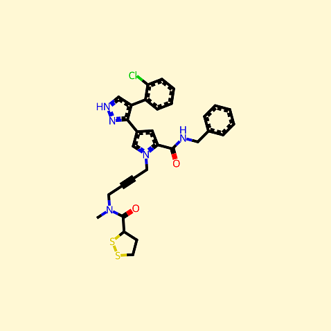 CN(CC#CCn1cc(-c2n[nH]cc2-c2ccccc2Cl)cc1C(=O)NCc1ccccc1)C(=O)C1CCSS1